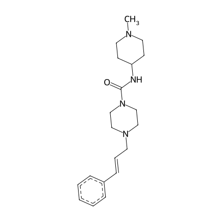 CN1CCC(NC(=O)N2CCN(C/C=C/c3ccccc3)CC2)CC1